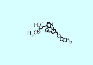 COCCC(C)c1ccnc2c1OCC1CC(COCOC)CN21